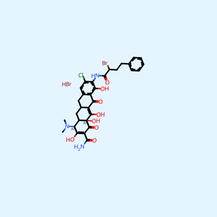 Br.CN(C)[C@@H]1C(O)=C(C(N)=O)C(=O)[C@@]2(O)C(O)=C3C(=O)c4c(cc(Cl)c(NC(=O)C(Br)CCc5ccccc5)c4O)CC3CC12